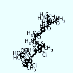 Cc1csc2c(OC(=O)N(C)CCN(C)C(=O)OCc3ccc(NC(=O)[C@H](CCCNC(N)=O)NC(=O)[C@@H](N)C(C)C)cc3)cc3c(c12)[C@H](CCl)CN3C(=O)CCCC(=O)N1C[C@@H](CCl)c2c1cc(O[C@@H]1O[C@H](C(=O)O)[C@@H](O)[C@H](O)[C@H]1O)c1scc(C)c21